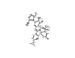 Cn1ncc(C#N)c1-c1ccc(CN(C(=O)c2ccc(C3CC3)nc2)c2ccc(F)cc2S(C)(=O)=O)c(F)c1N